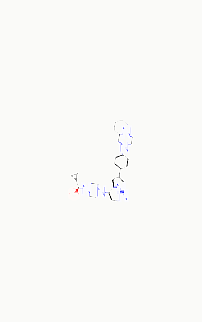 O=C(C1CC1)N1CCN(c2ccnn3cc(-c4ccc(N5CCN6CCCCC6C5)cc4)cc23)CC1